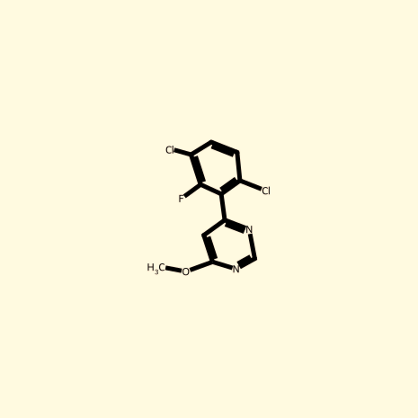 COc1cc(-c2c(Cl)ccc(Cl)c2F)ncn1